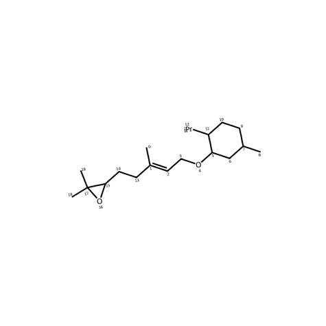 C/C(=C\COC1CC(C)CCC1C(C)C)CCC1OC1(C)C